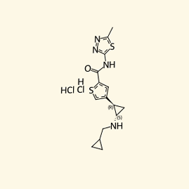 Cc1nnc(NC(=O)c2cc([C@H]3C[C@@H]3NCC3CC3)cs2)s1.Cl.Cl